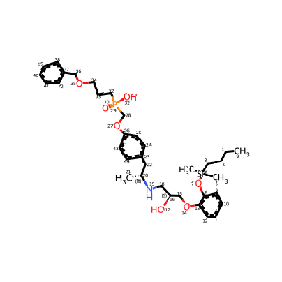 CCCC[Si](C)(C)Oc1ccccc1OC[C@@H](O)CN[C@H](C)Cc1ccc(OCP(=O)(O)CCCOCc2ccccc2)cc1